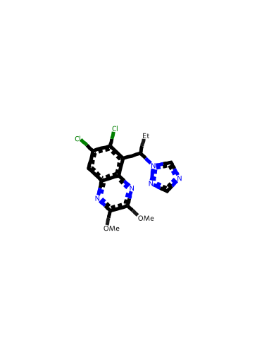 CCC(c1c(Cl)c(Cl)cc2nc(OC)c(OC)nc12)n1cncn1